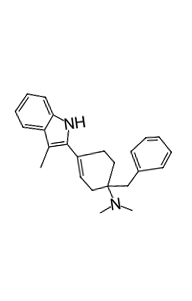 Cc1c(C2=CCC(Cc3ccccc3)(N(C)C)CC2)[nH]c2ccccc12